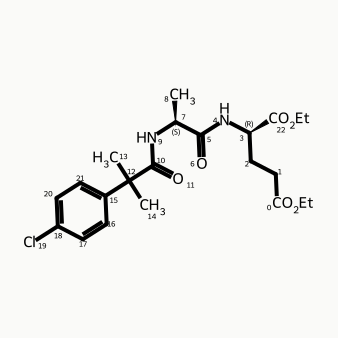 CCOC(=O)CC[C@@H](NC(=O)[C@H](C)NC(=O)C(C)(C)c1ccc(Cl)cc1)C(=O)OCC